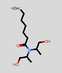 CCCCCCCCCCCCCCCC(=O)N(C(C)CO)C(C)CO